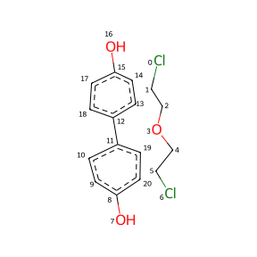 ClCCOCCCl.Oc1ccc(-c2ccc(O)cc2)cc1